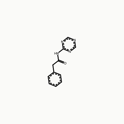 O=C(Cc1ccccc1)Nc1ncncn1